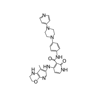 Cc1c(Nc2cc[nH]c(=O)c2C(=O)Nc2ccc(N3CCN(c4ccncc4)CC3)cc2)cnc2c1NCCO2